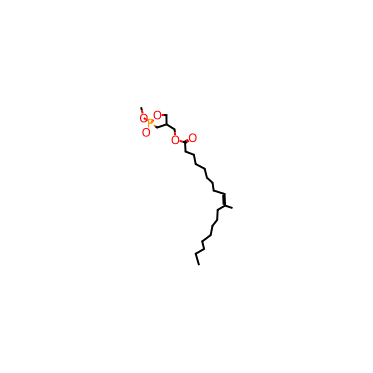 CCCCCCCC/C(C)=C\CCCCCCCC(=O)OCC1COP(=O)(OC)C1